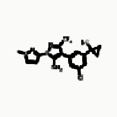 Cn1ccc(-n2nc(C(F)(F)F)c(-c3cc(Cl)cc(C4(C#N)CC4)c3)c2N)n1